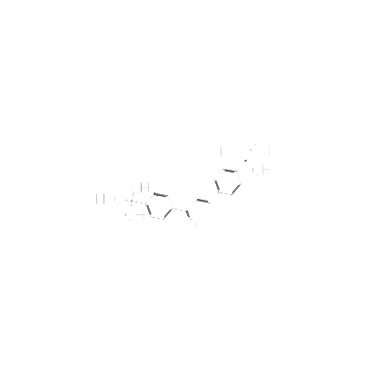 CC(C)(C)c1ccc(C=CC(=O)c2ccc(C(C)(C)C)cc2)cc1